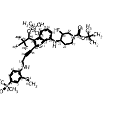 COc1cc(P(C)(C)=O)ccc1NCC#Cc1sc2c(NC3CCN(C(=O)OC(C)(C)C)CC3F)cccc2c1C(O[Si](C)(C)C)C(F)(F)F